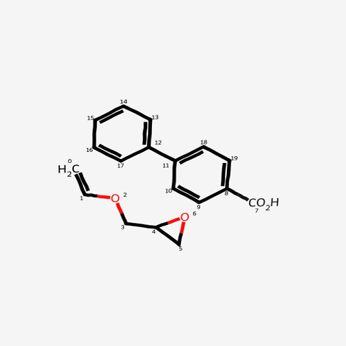 C=COCC1CO1.O=C(O)c1ccc(-c2ccccc2)cc1